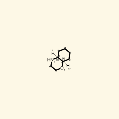 C1CC[C@H]2OCCN[C@H]2C1